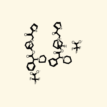 O=C(C[N+]12CCC(CC1)C(OC(=O)C(c1ccccc1)N1CCCCC1)C2)c1cccs1.O=C(C[N+]12CCC(CC1)[C@@H](OC(=O)C(c1ccccc1)N1CCCCC1)C2)c1cccs1.O=C([O-])C(F)(F)F.O=C([O-])C(F)(F)F